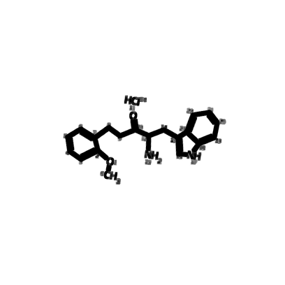 COc1ccccc1CCC(=O)C(N)Cc1c[nH]c2ccccc12.Cl